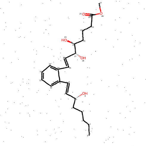 CCCCC[C@@H](O)/C=C/c1ccccc1/C=C/[C@@H](O)[C@@H](O)CCCC(=O)OC